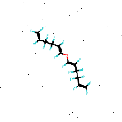 FC(F)=C(F)C(F)(F)C(F)(F)C(F)=C(F)OC(F)=C(F)C(F)(F)C(F)(F)C(F)=C(F)F